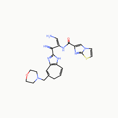 N=C(/C(=C\N)NC(=O)c1cn2ccsc2n1)c1nc2c([nH]1)C=CCC(CN1CCOCC1)=C2